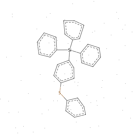 c1ccc(Sc2ccc([Si](c3ccccc3)(c3ccccc3)c3ccccc3)cc2)cc1